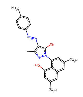 Cc1nn(-c2cc(S(=O)(=O)O)cc3cc(S(=O)(=O)O)cc(O)c23)c(O)c1/N=N/c1ccc(S(=O)(=O)O)cc1